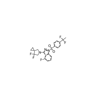 CC(F)(F)c1ccc(S(=O)(=O)n2nc(N3CC(F)(F)C4(CC4)C3)c3c(F)cccc32)cc1